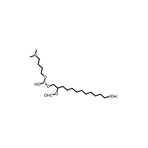 CCCCCCCCCCCCCCCCCCCCC(COP(O)OCCCCN(C)C)OC=O